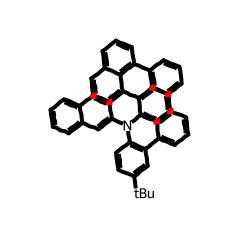 CC(C)(C)c1ccc(N(c2ccc3ccccc3c2)c2ccccc2-c2cccc3cccc(-c4ccccc4)c23)c(-c2ccccc2)c1